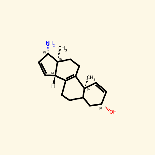 C[C@]12CCC3=C(CCC4C[C@@H](O)C=C[C@]34C)[C@@H]1C=C[C@@H]2N